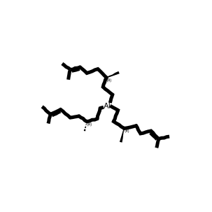 CC(C)=CCC[C@@H](C)C[CH2][Al]([CH2]C[C@H](C)CCC=C(C)C)[CH2]C[C@H](C)CCC=C(C)C